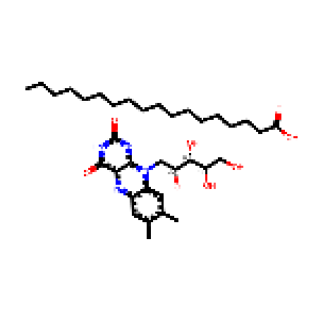 CCCCCCCCCCCCCCCCCC(=O)O.Cc1cc2nc3c(=O)[nH]c(=O)nc-3n(C[C@H](O)[C@H](O)[C@H](O)CO)c2cc1C